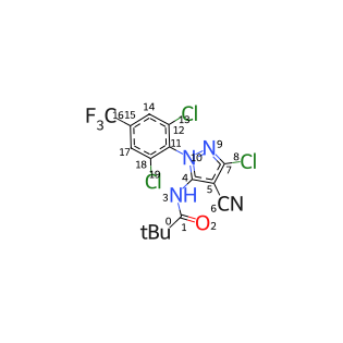 CC(C)(C)C(=O)Nc1c(C#N)c(Cl)nn1-c1c(Cl)cc(C(F)(F)F)cc1Cl